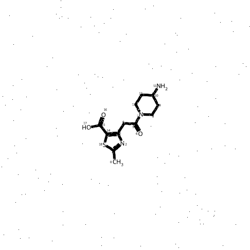 Cc1nc(CC(=O)N2CCC(N)CC2)c(C(=O)O)s1